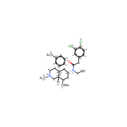 COC1C[C@@H](N(CC(C)C)C(=O)Cc2ccc(Cl)c(Cl)c2)C[C@]2(c3cccc(OC(C)=O)c3)CCN(C)C[C@@H]12